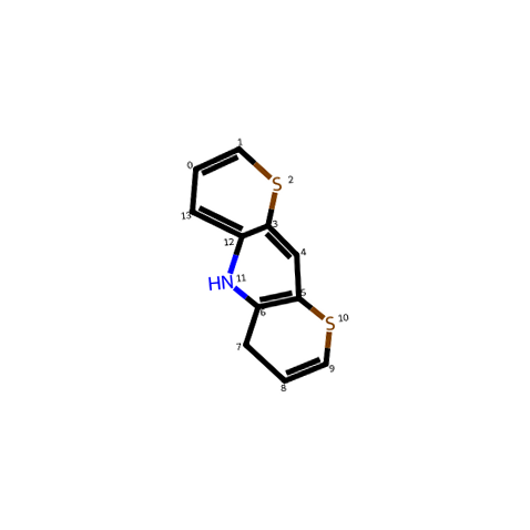 C1=CSC2=CC3=C(CC=CS3)NC2=C1